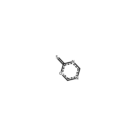 S=c1ncnco1